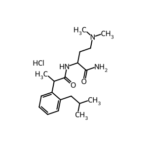 CC(C)Cc1ccccc1C(C)C(=O)NC(CCN(C)C)C(N)=O.Cl